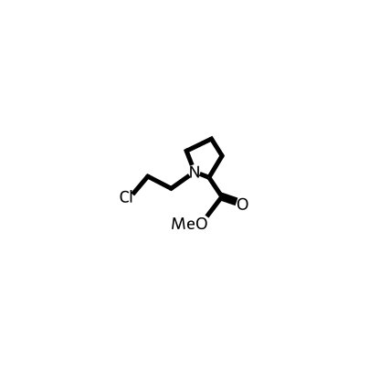 COC(=O)C1CCCN1CCCl